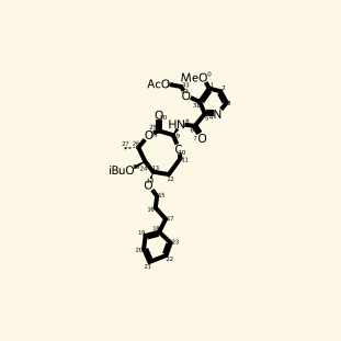 COc1ccnc(C(=O)N[C@H]2CCC[C@H](OCCCc3ccccc3)[C@@H](OCC(C)C)[C@H](C)OC2=O)c1OCOC(C)=O